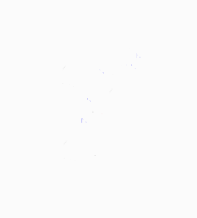 Cc1cc(NC(=O)NC2c3cc(F)c(F)cc3C(C)(C)C[C@H]2O)c(-c2ccccc2)nc1-c1ccn(C)n1